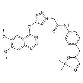 COc1cc2ncnc(Oc3cnn(CC(=O)Nc4ccc(CN(C=O)OC(C)(C)C)cc4)c3)c2cc1OC